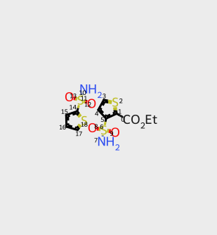 CCOC(=O)c1sccc1S(N)(=O)=O.NS(=O)(=O)c1cccs1